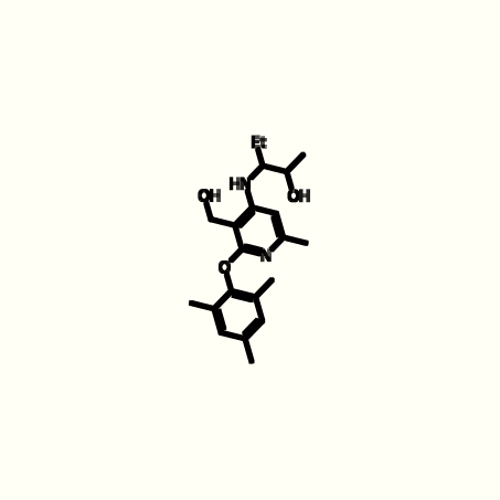 CCC(Nc1cc(C)nc(Oc2c(C)cc(C)cc2C)c1CO)C(C)O